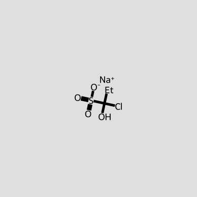 CCC(O)(Cl)S(=O)(=O)[O-].[Na+]